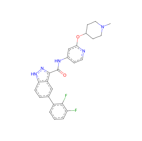 CN1CCC(Oc2cc(NC(=O)c3n[nH]c4ccc(-c5cccc(F)c5F)cc34)ccn2)CC1